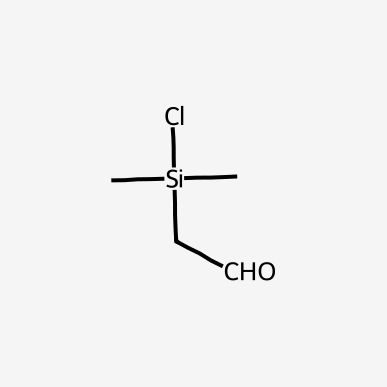 C[Si](C)(Cl)CC=O